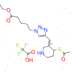 CCOC(=O)CCCCn1cc(/C=C2\CNCCC2SC(C)=O)nn1.O=C(O)C(F)(F)F